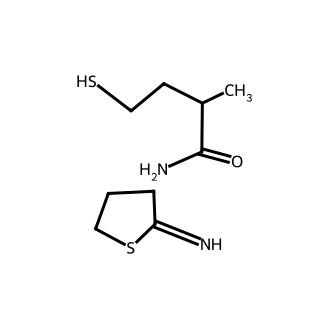 CC(CCS)C(N)=O.N=C1CCCS1